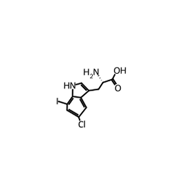 N[C@@H](Cc1c[nH]c2c(I)cc(Cl)cc12)C(=O)O